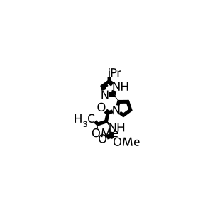 COC(=O)N[C@H](C(=O)N1CCC[C@H]1c1ncc(C(C)C)[nH]1)[C@@H](C)OC